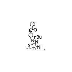 CCCCc1nc2c(N)nc3cc(C)sc3c2n1CC1CCN(OC(=O)c2ccccc2)CC1